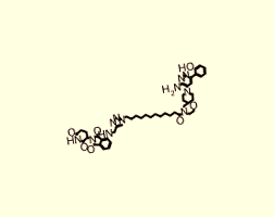 Nc1nnc(-c2ccccc2O)cc1N1CCC2(CC1)CN(C(=O)CCCCCCCCCCCn1cc(CNc3cccc4c3C(=O)N(C3CCC(=O)NC3=O)C4=O)nn1)CCO2